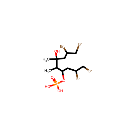 CC(C(CC(Br)CBr)OP(=O)(O)O)C(C)(O)CC(Br)CBr